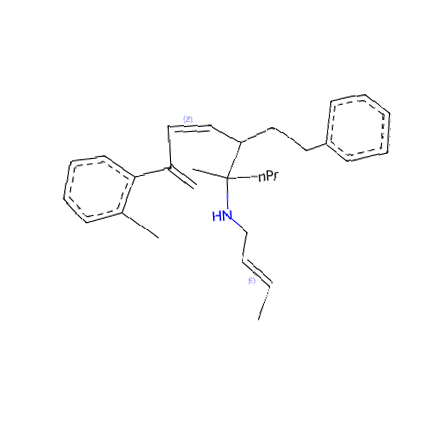 C=C(/C=C\C(CCc1ccccc1)C(C)(CCC)NC/C=C/C)c1ccccc1C